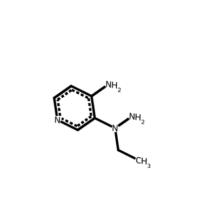 CCN(N)c1cnccc1N